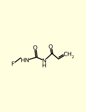 C=CC(=O)NC(=O)NCF